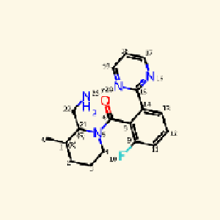 C[C@@H]1CCCN(C(=O)c2c(F)cccc2-c2ncccn2)[C@@H]1CN